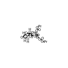 C#C[C@]1(O)[C@H](N2C=CC(=O)NC2O)O[C@](F)(COP(=O)(OCOC(=O)OC(C)C)OCOC(=O)OC(C)C)[C@H]1O